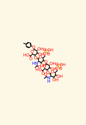 CC(=O)NC1[C@H](O[C@@H]2C(C(=O)O)O[C@@H](O[C@@H]3C(COS(=O)(=O)O)O[C@@H](O[C@@H]4C(C(=O)O)O[C@@H](Oc5ccc(C)cc5)C(O)[C@H]4O)C(NC(C)=O)[C@H]3O)C(O)[C@H]2O)OC(COS(=O)(=O)O)[C@@H](O)[C@@H]1O